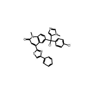 Cn1cncc1C(Cl)(c1ccc(Cl)cc1)c1ccc2c(c1)c(-c1nc(-c3ccccc3)cs1)cc(=O)n2C